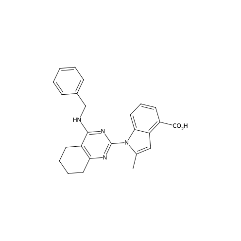 Cc1cc2c(C(=O)O)cccc2n1-c1nc2c(c(NCc3ccccc3)n1)CCCC2